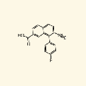 [C-]#[N+]c1ccc2ccc(C(=O)O)cc2c1-c1ccc(F)cc1